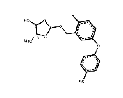 CO[C@H]1OB(OCc2cc(Oc3ccc(C#N)cc3)ccc2C)OC1O